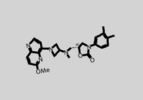 COc1ccc2nccc(N3CC(N(C)C[C@@H]4CN(c5ccc(C)c(C)c5)C(=O)O4)C3)c2n1